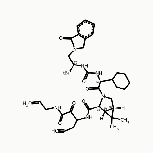 C#CCC(NC(=O)[C@@H]1[C@@H]2[C@H](CN1C(=O)[C@@H](NC(=O)N[C@H](CN1Cc3ccccc3C1=O)C(C)(C)C)C1CCCCC1)C2(C)C)C(=O)C(=O)NCC=C